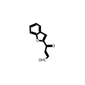 O=CC=CC(=O)c1cc2ccccc2o1